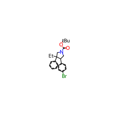 CCC1(c2ccccc2)CN(C(=O)OC(C)(C)C)CC1c1ccc(Br)cc1